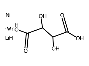 O=C(O)C(O)C(O)C(=O)O.[LiH].[Mn].[Ni]